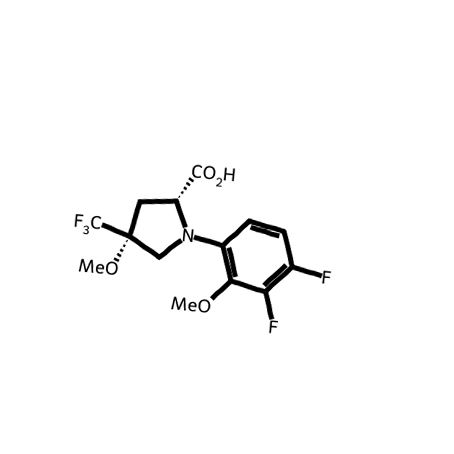 COc1c(N2C[C@@](OC)(C(F)(F)F)C[C@@H]2C(=O)O)ccc(F)c1F